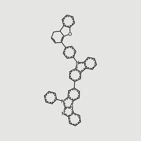 C1=CC(c2ccc(-n3c4ccccc4c4cc(-c5ccc6c(c5)n(-c5ccccc5)c5nc7ccccc7n65)ccc43)cc2)=C2Oc3ccccc3C2C1